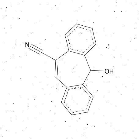 N#CC1=Cc2ccccc2C(O)c2ccccc21